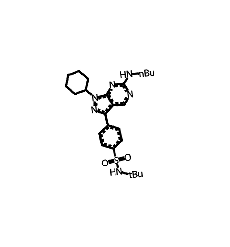 CCCCNc1ncc2c(-c3ccc(S(=O)(=O)NC(C)(C)C)cc3)nn(C3CCCCC3)c2n1